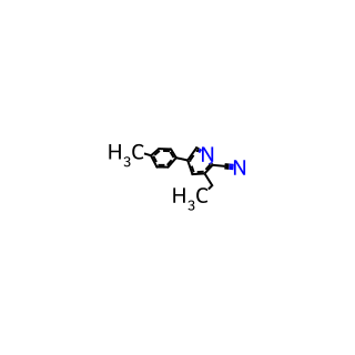 CCc1cc(-c2ccc(C)cc2)cnc1C#N